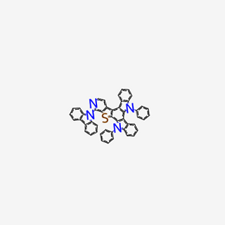 c1ccc(-n2c3ccccc3c3c2c2sc4c(-n5c6ccccc6c6ccccc65)nccc4c2c2c4ccccc4n(-c4ccccc4)c23)cc1